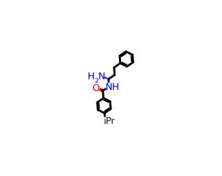 CC(C)c1ccc(C(=O)N[C@@H](N)CCc2ccccc2)cc1